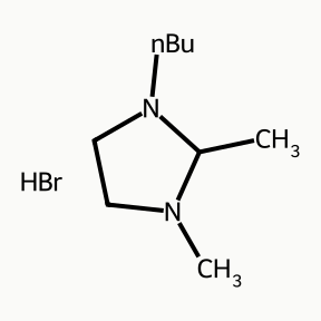 Br.CCCCN1CCN(C)C1C